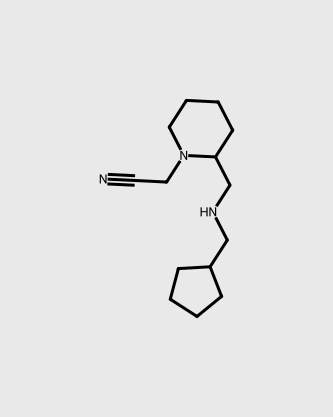 N#CCN1CCCCC1CNCC1CCCC1